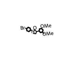 COc1cc(OC)cc(C2CCN(c3ccc(Br)cc3)C2=O)c1